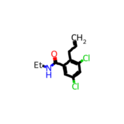 C=CCc1c(Cl)cc(Cl)cc1C(=O)NCC